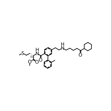 COC(=O)[C@H](CCSC)NC(=O)c1ccc(CCNCCCCC(=O)C2CCCCC2)cc1-c1ccccc1C